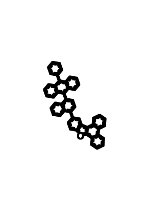 c1ccc(-c2c3ccccc3c(-c3ccc(-c4ccc5oc6c7ccccc7c7ccccc7c6c5c4)c4ccccc34)c3ccccc23)cc1